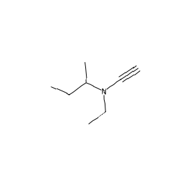 C#CN(CC)C(C)CC